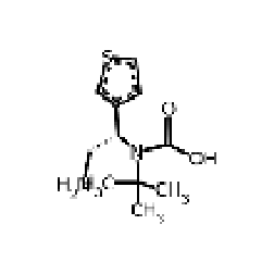 CC(C)(C)N(C(=O)O)[C@H](CN)c1ccsc1